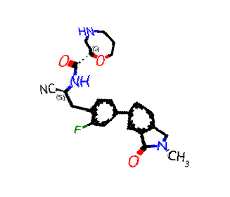 CN1Cc2ccc(-c3ccc(C[C@@H](C#N)NC(=O)[C@@H]4CNCCCO4)c(F)c3)cc2C1=O